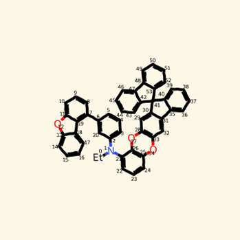 CCN(c1cccc(-c2cccc3oc4ccccc4c23)c1)c1cccc2c1Oc1cc3c(cc1O2)-c1ccccc1C31c2ccccc2-c2ccccc21